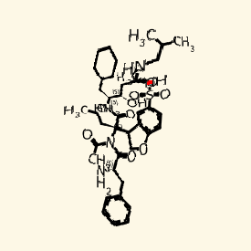 CNS(=O)(=O)c1ccc2c(c1)C([C@@](CC(C)C)(C(=O)N[C@@H](CC1CCCCC1)[C@@H](O)CC(=O)NCC(C)C)N(C(C)=O)C(=O)[C@@H](N)Cc1ccccc1)CO2